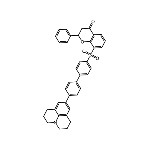 O=C1CC(c2ccccc2)Oc2c1cccc2S(=O)(=O)c1ccc(-c2ccc(-c3cc4c5c(c3)CCCN5CCC4)cc2)cc1